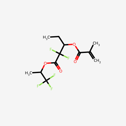 C=C(C)C(=O)OC(CC)C(F)(F)C(=O)OC(C)C(F)(F)F